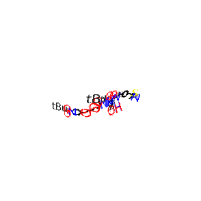 Cc1ncsc1-c1ccc([C@H](C)NC(=O)[C@@H]2C[C@@H](O)CN2C(=O)C(NC(=O)COCCOC2CCN(C(=O)OC(C)(C)C)CC2)C(C)(C)C)cc1